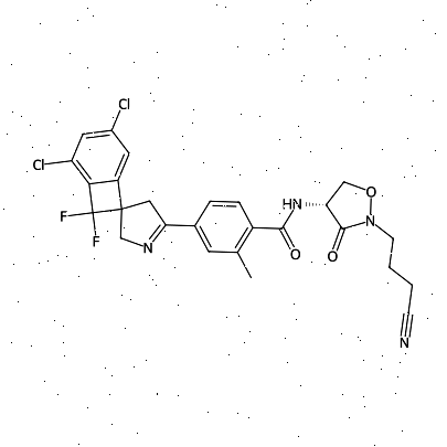 Cc1cc(C2=NCC3(C2)c2cc(Cl)cc(Cl)c2C3(F)F)ccc1C(=O)N[C@@H]1CON(CCCC#N)C1=O